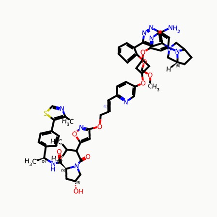 COCOc1ccccc1-c1cc(N2CC3CC[C@H](C2)N3c2ccnc(OC3CC(Oc4ccc(/C=C/COc5cc(C(C(=O)N6C[C@H](O)C[C@H]6C(=O)N[C@@H](C)c6ccc(-c7scnc7C)cc6)C(C)C)on5)nc4)C3)c2)c(N)nn1